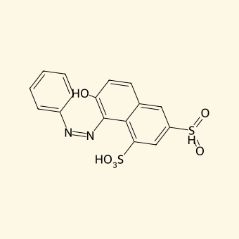 O=[SH](=O)c1cc(S(=O)(=O)O)c2c(/N=N\c3ccccc3)c(O)ccc2c1